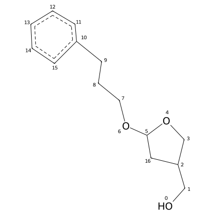 OCC1COC(OCCCc2ccccc2)C1